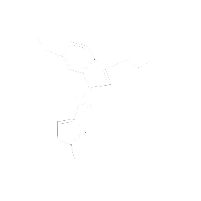 CCOc1ccc2c(CCC(=O)O)cn(S(=O)(=O)c3cc(C)oc3C)c2c1